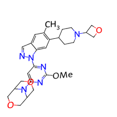 COc1nc(N2C3COCC2COC3)cc(-n2ncc3cc(C)c(C4CCN(C5COC5)CC4)cc32)n1